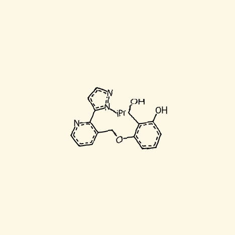 CC(C)n1nccc1-c1ncccc1COc1cccc(O)c1CO